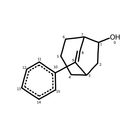 OC1CC2CCCC1C=C2c1ccccc1